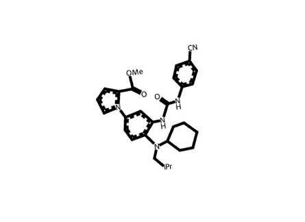 COC(=O)c1cccn1-c1ccc(N(CC(C)C)C2CCCCC2)c(NC(=O)Nc2ccc(C#N)cc2)c1